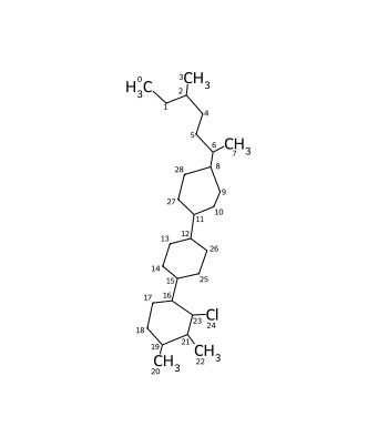 CCC(C)CCC(C)C1CCC(C2CCC(C3CCC(C)C(C)C3Cl)CC2)CC1